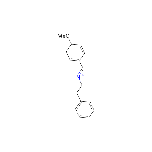 COC1C=CC(/C=N/CCc2ccccc2)=CC1